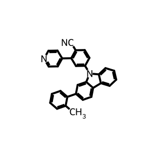 Cc1ccccc1-c1ccc2c3ccccc3n(-c3ccc(C#N)c(-c4ccncc4)c3)c2c1